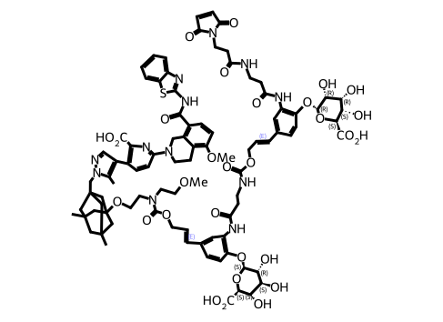 COCCN(CCOC12CC3(C)CC(C)(CC(Cn4ncc(-c5ccc(N6CCc7c(OC)ccc(C(=O)Nc8nc9ccccc9s8)c7C6)nc5C(=O)O)c4C)(C3)C1)C2)C(=O)OC/C=C/c1ccc(O[C@@H]2O[C@H](C(=O)O)[C@@H](O)[C@H](O)[C@H]2O)c(NC(=O)CCNC(=O)OC/C=C/c2ccc(O[C@H]3O[C@H](C(=O)O)[C@@H](O)[C@@H](O)[C@H]3O)c(NC(=O)CCNC(=O)CCN3C(=O)C=CC3=O)c2)c1